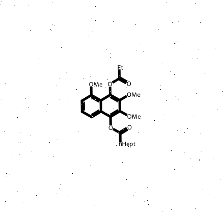 CCCCCCCC(=O)Oc1c(OC)c(OC)c(OC(=O)CC)c2c(OC)cccc12